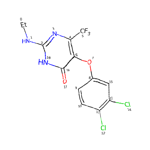 CCNc1nc(C(F)(F)F)c(Oc2ccc(Cl)c(Cl)c2)c(=O)[nH]1